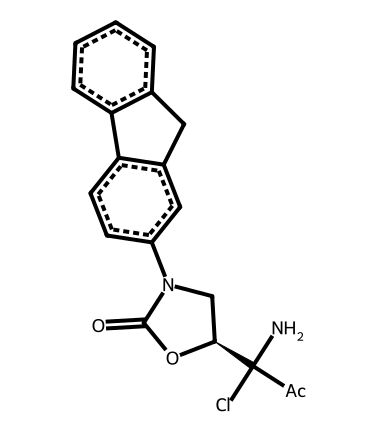 CC(=O)C(N)(Cl)[C@@H]1CN(c2ccc3c(c2)Cc2ccccc2-3)C(=O)O1